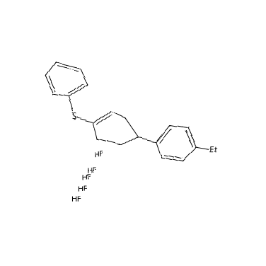 CCc1ccc(C2CC=C(Sc3ccccc3)CC2)cc1.F.F.F.F.F